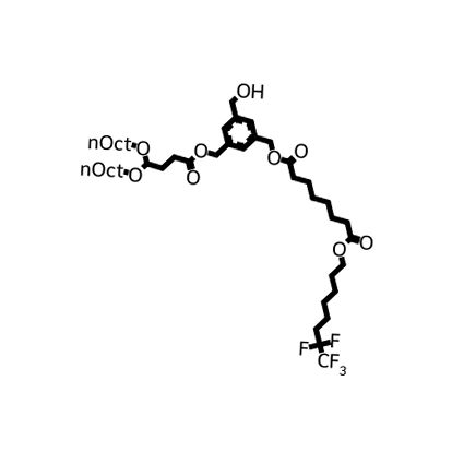 CCCCCCCCOC(CCC(=O)OCc1cc(CO)cc(COC(=O)CCCCCCC(=O)OCCCCCCC(F)(F)C(F)(F)F)c1)OCCCCCCCC